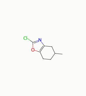 CC1CCc2oc(Cl)nc2C1